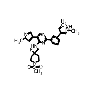 C=C/C(=C\N(C)C)c1cccc(-c2ncc(C3=CC(C)N=C3)c(NCC3(F)CCN(S(C)(=O)=O)CC3)n2)c1